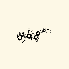 COc1ccnc(P)c1C(=O)Nc1cc(P)c(Oc2ccnc3cc(OC[C@@H](C)N)ccc23)c(P)c1